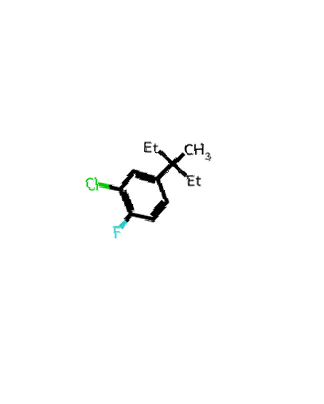 CCC(C)(CC)c1ccc(F)c(Cl)c1